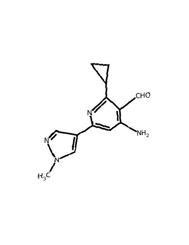 Cn1cc(-c2cc(N)c(C=O)c(C3CC3)n2)cn1